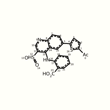 CC(=O)c1ccc(-c2ccc3ncc([SH](=O)=O)c(Nc4ccccc4C(=O)O)c3c2)s1